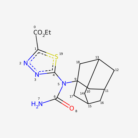 CCOC(=O)c1nnc(N(C(N)=O)C23CC4CC(CC(C4)C2)C3)s1